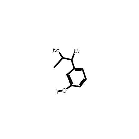 CCC(c1cccc(OI)c1)C(C)C(C)=O